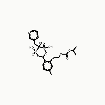 Cc1ccc(C2OP(=O)(O)C(O)(Cc3cccnc3)P(=O)(O)O2)c(OCOC(=O)OC(C)C)c1